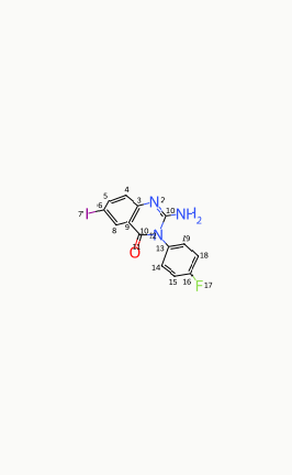 Nc1nc2ccc(I)cc2c(=O)n1-c1ccc(F)cc1